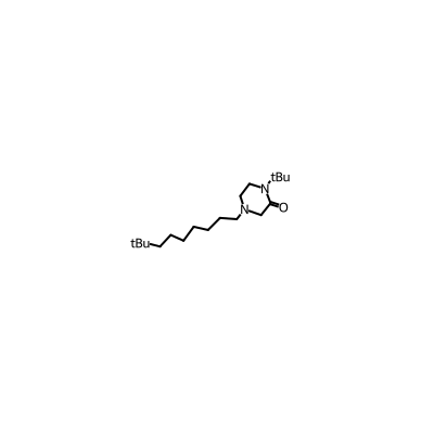 CC(C)(C)CCCCCCCN1CCN(C(C)(C)C)C(=O)C1